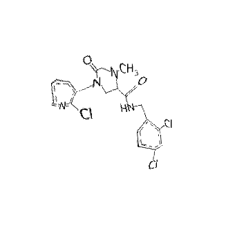 CN1C(=O)N(c2cccnc2Cl)CC1C(=O)NCc1ccc(Cl)cc1Cl